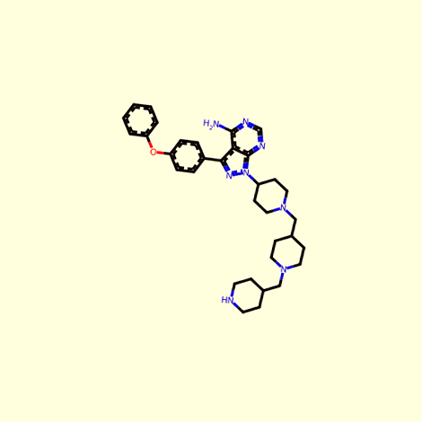 Nc1ncnc2c1c(-c1ccc(Oc3ccccc3)cc1)nn2C1CCN(CC2CCN(CC3CCNCC3)CC2)CC1